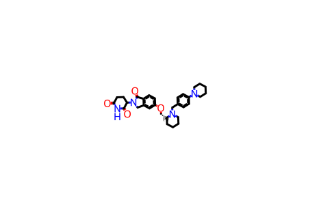 O=C1CCC(N2Cc3cc(OC[C@H]4CCCCN4Cc4ccc(N5CCCCC5)cc4)ccc3C2=O)C(=O)N1